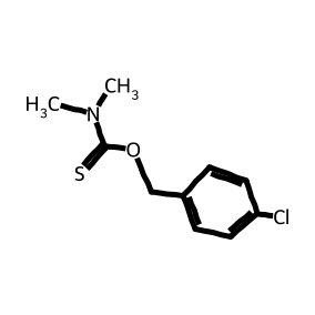 CN(C)C(=S)OCc1ccc(Cl)cc1